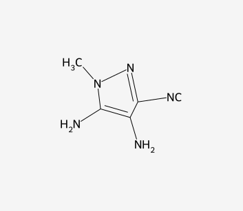 [C-]#[N+]c1nn(C)c(N)c1N